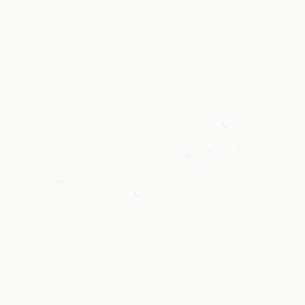 COC(=O)c1ccc(COc2nn(C(=N)c3ccoc3)c(=N)c3ccccc23)nc1